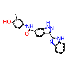 Cc1cc(NC(=O)c2ccc3c(-c4nc5ccccc5[nH]4)n[nH]c3c2)ccc1O